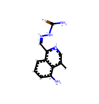 Cc1cnc(/C=N\NC(N)=S)c2cccc(N)c12